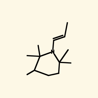 CC=CN1C(C)(C)CCC(C)C1(C)C